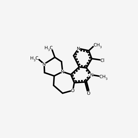 Cc1ncc2c3c(c(=O)n(C)c2c1Cl)OCCC1CN(C)C(C)CN31